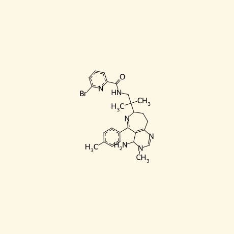 Cc1ccc(C2=NC(C(C)(C)CNC(=O)c3cccc(Br)n3)CCC3=C2C(N)N(C)C=N3)cc1